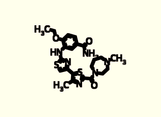 CCOc1ccc(C(N)=O)cc1Nc1nc(-c2sc(C(=O)N3CCCN(C)CC3)nc2C)cs1